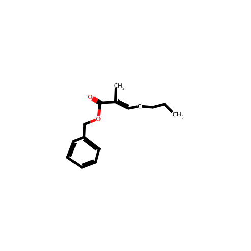 CCCCC=C(C)C(=O)OCc1ccccc1